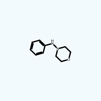 c1ccc(NN2CCOCC2)cc1